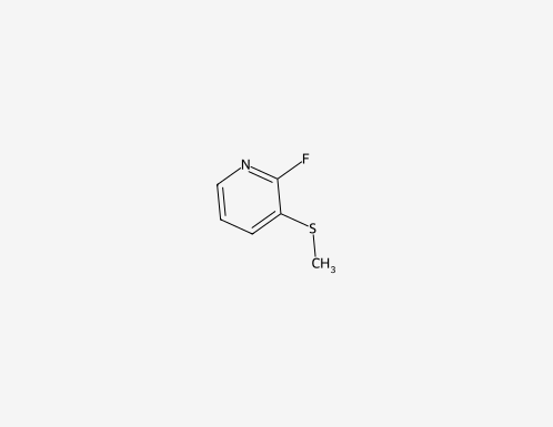 CSc1cccnc1F